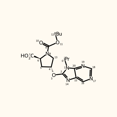 CC(C)n1c(O[C@@H]2C[C@@H](C(=O)O)N(C(=O)OC(C)(C)C)C2)nc2cncnc21